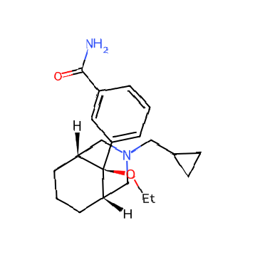 CCO[C@]1(c2cccc(C(N)=O)c2)[C@@H]2CCC[C@H]1CN(CC1CC1)C2